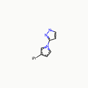 CC(C)c1ccn(C2=N[N]C=C2)c1